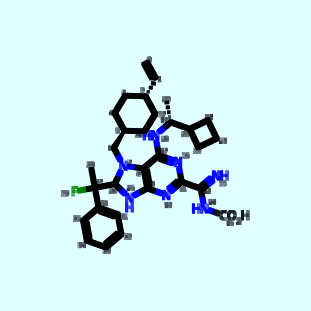 C=C[C@H]1CC[C@H](CN2c3c(nc(C(=N)NC(=O)O)nc3N[C@H](C)C3CCC3)NC2C(C)(F)c2ccccc2)CC1